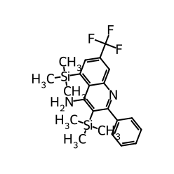 C[Si](C)(C)c1c(-c2ccccc2)nc2cc(C(F)(F)F)cc([Si](C)(C)C)c2c1N